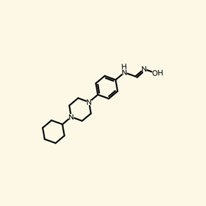 O/N=C/Nc1ccc(N2CCN(C3CCCCC3)CC2)cc1